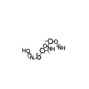 Cc1ccc(OC2CNC2)cc1C(=O)NC(C)c1cccc(-c2ccc(CN3CC[C@H](O)C3)s2)c1